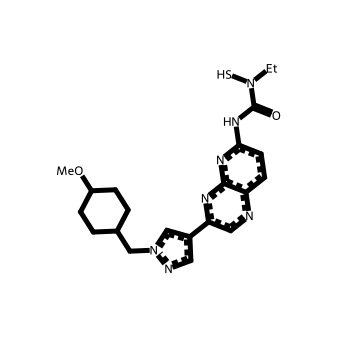 CCN(S)C(=O)Nc1ccc2ncc(-c3cnn(CC4CCC(OC)CC4)c3)nc2n1